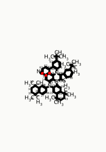 CC(C)(C)c1ccc(N2c3cc(C#N)cc4c3B(c3cc5c(cc3N4c3ccc4c(c3)C(C)(C)CCC4(C)C)C(C)(C)CCC5(C)C)c3sc4ccc(C(C)(C)C)cc4c32)c(-c2ccccc2)c1